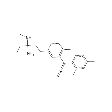 C=C=C(C1=C(C)CCC(CCC(N)(CC)NC)=C1)c1ccc(C)cc1C